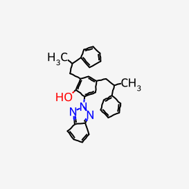 CC(Cc1cc(CC(C)c2ccccc2)c(O)c(-n2nc3ccccc3n2)c1)c1ccccc1